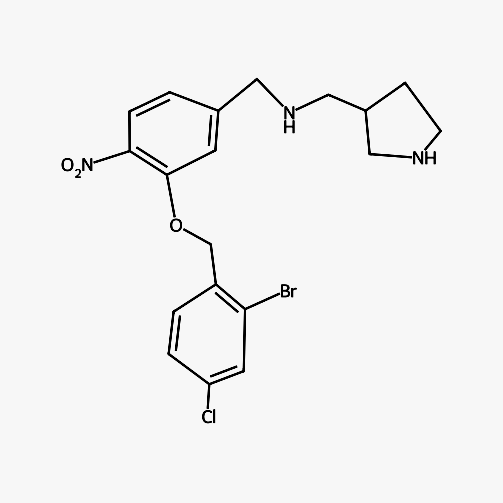 O=[N+]([O-])c1ccc(CNCC2CCNC2)cc1OCc1ccc(Cl)cc1Br